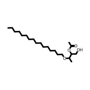 CCCCCCCCCCCCCCCCOC(C)C(CO)OC(C)=O